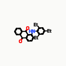 CCc1cc(CC)c(Nc2cccc3c2C(=O)c2ccccc2C3=O)c(CC)c1